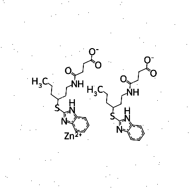 CCCC(CCNC(=O)CCC(=O)[O-])Sc1nc2ccccc2[nH]1.CCCC(CCNC(=O)CCC(=O)[O-])Sc1nc2ccccc2[nH]1.[Zn+2]